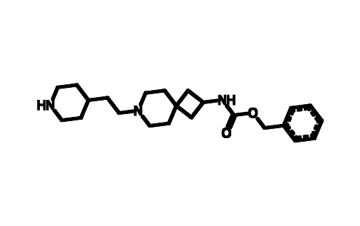 O=C(NC1CC2(CCN(CCC3CCNCC3)CC2)C1)OCc1ccccc1